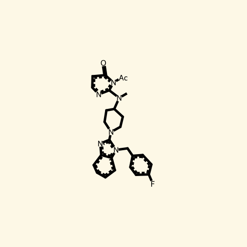 CC(=O)n1c(N(C)C2CCN(c3nc4ccccc4n3Cc3ccc(F)cc3)CC2)nccc1=O